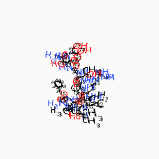 CC[C@H](C)[C@H](NC(=O)[C@@H](CCCNC(=N)N)NC(=O)[C@H](CC(C)C)NC(=O)[C@@H](NC(=O)[C@@H](NC(=O)OCc1ccccc1)[C@H](N)C(C)C)[C@H](O)C(C)C)C(=O)N[C@H](C(=O)NCC(=O)N[C@H](C(=O)N[C@@H](CO)C(=O)O)[C@H](O)C(N)=O)[C@H](C)O